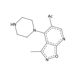 CC(=O)c1cnc2onc(C)c2c1N1CCNCC1